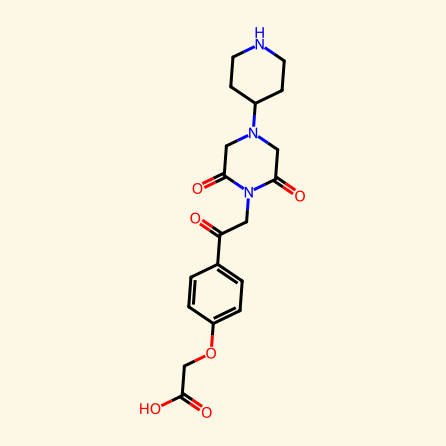 O=C(O)COc1ccc(C(=O)CN2C(=O)CN(C3CCNCC3)CC2=O)cc1